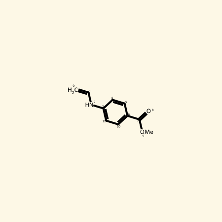 C=CNc1ccc(C(=O)OC)cc1